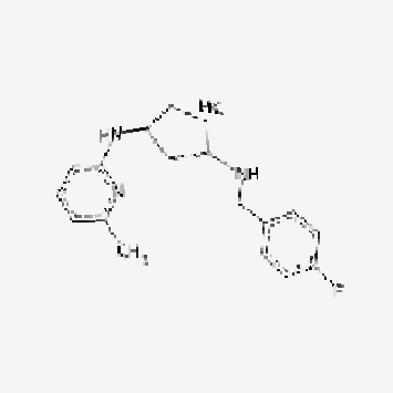 Cc1cccc(NC2CCC(NCc3ccc(F)cc3)C2)n1.Cl